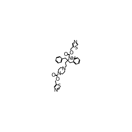 O=C(NC(CCN1CCN(C(=O)OCc2cncs2)CC1)(Cc1ccccc1)Cc1ccccc1)OCc1cncs1